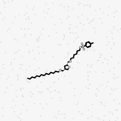 CCCCCCCCCCCCCCOC[C@@H]1CO[C@@H](COCCCCCCOS(=O)(=O)c2ccc(C)cc2)C1